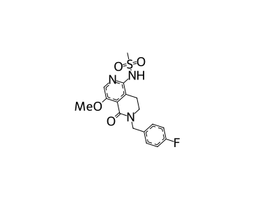 COc1cnc(NS(C)(=O)=O)c2c1C(=O)N(Cc1ccc(F)cc1)CC2